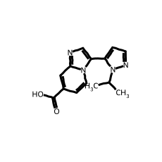 CC(C)n1nccc1-c1cnc2cc(C(=O)O)ccn12